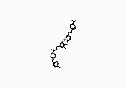 Cc1ccc(CN2CCN(C(=O)C=Cc3cc(C)c(Oc4ccc(OCc5ccc(C(C)C)cc5)cn4)c(Cl)c3)CC2)cc1